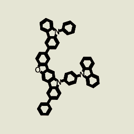 c1ccc(-c2ccc3c(c2)c2cc4oc5ccc(-c6ccc7c(c6)c6ccccc6n7-c6ccccc6)cc5c4cc2n3-c2ccc(-n3c4ccccc4c4ccccc43)cc2)cc1